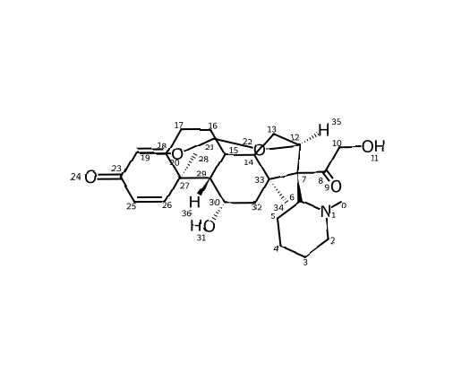 CN1CCCCC1[C@]1(C(=O)CO)[C@@H]2CC3C4CCC5=C(OCO2)C(=O)C=C[C@]5(C)[C@H]4[C@@H](O)C[C@@]31C